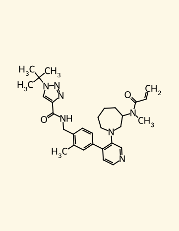 C=CC(=O)N(C)C1CCCCN(c2cnccc2-c2ccc(CNC(=O)c3cn(C(C)(C)C)nn3)c(C)c2)C1